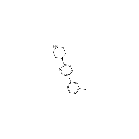 Cc1cccc(-c2ccc(N3CCNCC3)nc2)c1